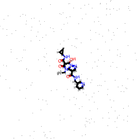 CC(C)Cn1c(=O)c(C(=O)NC2CC2)c(O)n2ncc(C(=O)NCc3cccnc3)c12